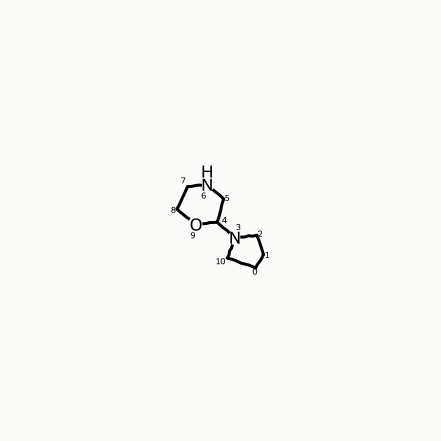 C1CCN(C2CNCCO2)C1